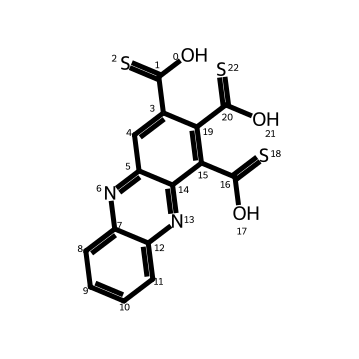 OC(=S)c1cc2nc3ccccc3nc2c(C(O)=S)c1C(O)=S